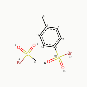 CS(=O)(=O)Br.Cc1ccc(S(=O)(=O)Br)cc1